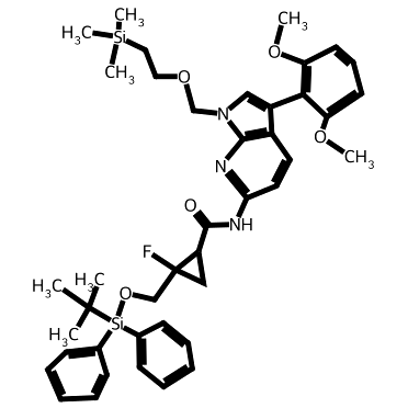 COc1cccc(OC)c1-c1cn(COCC[Si](C)(C)C)c2nc(NC(=O)C3CC3(F)CO[Si](c3ccccc3)(c3ccccc3)C(C)(C)C)ccc12